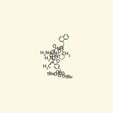 C=CC[C@H](CNC(=O)[C@H](CC(N)=O)NC(=O)C1(NC(=O)[C@@H](N)[C@H](C=C)c2ccc(CP(=O)(OOC(C)(C)C)OOC(C)(C)C)cc2)CCCCC1)Cc1cccc2ccccc12